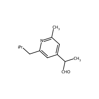 Cc1cc(C(C)C=O)cc(CC(C)C)n1